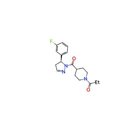 CCC(=O)N1CCC(C(=O)N2N=CC[C@H]2c2cccc(F)c2)CC1